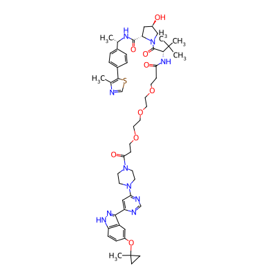 Cc1ncsc1-c1ccc([C@H](C)NC(=O)[C@@H]2C[C@@H](O)CN2C(=O)[C@@H](NC(=O)CCOCCOCCOCCC(=O)N2CCN(c3cc(-c4n[nH]c5ccc(OC6(C)CC6)cc45)ncn3)CC2)C(C)(C)C)cc1